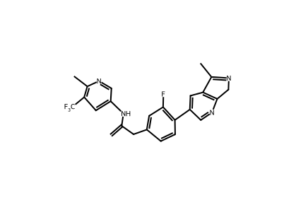 C=C(Cc1ccc(-c2cnc3c(c2)C(C)=NC3)c(F)c1)Nc1cnc(C)c(C(F)(F)F)c1